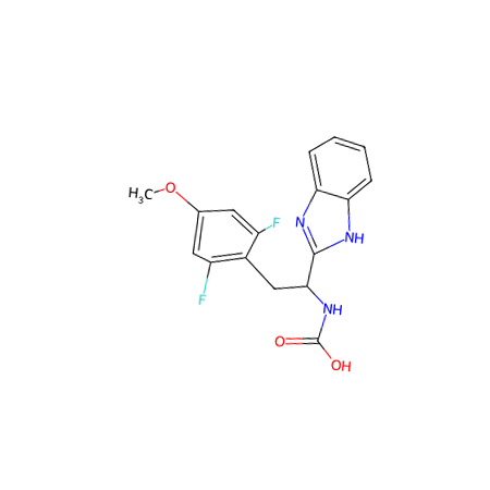 COc1cc(F)c(CC(NC(=O)O)c2nc3ccccc3[nH]2)c(F)c1